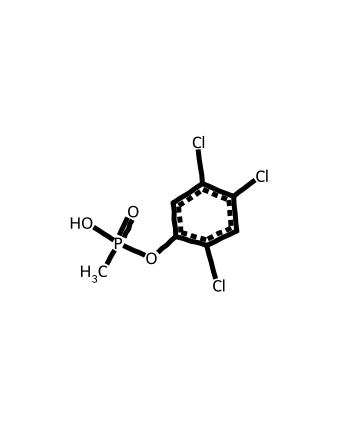 CP(=O)(O)Oc1cc(Cl)c(Cl)cc1Cl